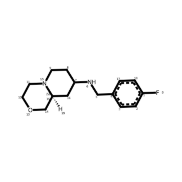 Fc1ccc(CNC2CCN3CCOC[C@@H]3C2)cc1